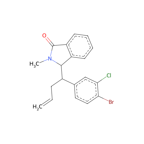 C=CCC(c1ccc(Br)c(Cl)c1)C1c2ccccc2C(=O)N1C